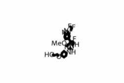 [2H]c1c(F)c(-c2ccc3nnn(CC(F)F)c3c2)c2c(OC)nc(N[C@H]3CC[C@@H](OCCO)CC3)nn12